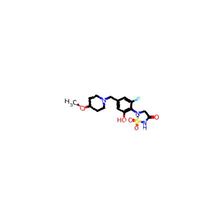 COC1CCN(Cc2cc(O)c(N3CC(=O)NS3(=O)=O)c(F)c2)CC1